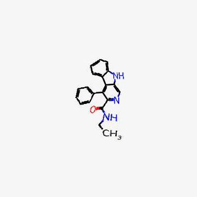 CCNC(=O)c1ncc2[nH]c3ccccc3c2c1-c1ccccc1